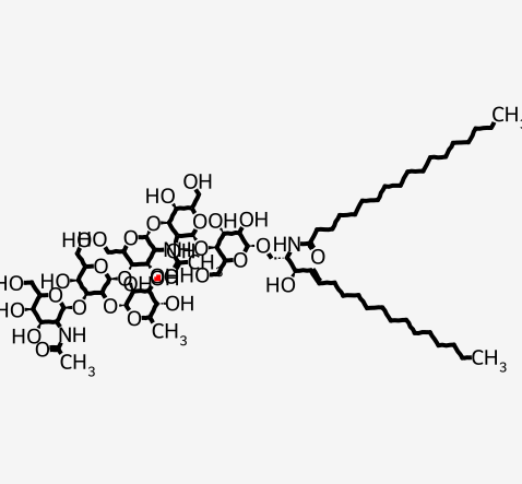 CCCCCCCCCCCCC/C=C/[C@@H](O)[C@H](CO[C@@H]1OC(CO)[C@@H](O[C@@H]2OC(CO)[C@H](O)[C@H](O[C@@H]3OC(CO)[C@@H](O[C@@H]4OC(CO)[C@H](O)[C@H](O[C@@H]5OC(CO)[C@H](O)[C@H](O)C5NC(C)=O)C4O[C@H]4OC(C)[C@@H](O)C(O)[C@@H]4O)[C@H](O)C3NC(C)=O)C2O)[C@H](O)C1O)NC(=O)CCCCCCCCCCCCCCCCC